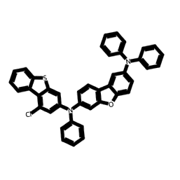 Clc1cc(N(c2ccccc2)c2ccc3c(c2)oc2ccc(N(c4ccccc4)c4ccccc4)cc23)cc2sc3ccccc3c12